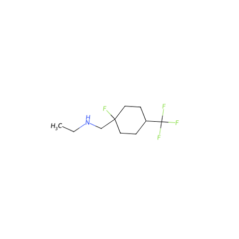 CCNCC1(F)CCC(C(F)(F)F)CC1